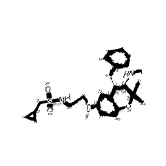 CN[C@H]1[C@@H](Cc2ccccc2)c2cc(OCCNS(=O)(=O)CC3CC3)ccc2OC1(C)C